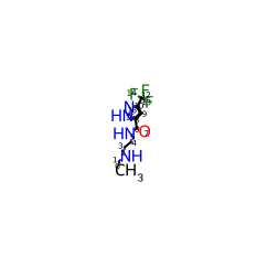 CCNCCNC(=O)c1cc(C(F)(F)F)n[nH]1